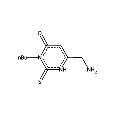 CCCCn1c(=O)cc(CN)[nH]c1=S